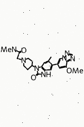 CNC(=O)CN1CCC(n2c(=O)[nH]c3cc(-c4cc(OC)c5ncnn5c4)c(C)cc32)CC1